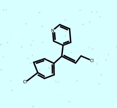 ClCC=C(c1ccc(Cl)cc1)c1cccnc1